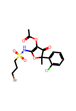 CC(=O)OC1=C(NS(=O)(=O)CCCBr)OC(C)(c2ccccc2Cl)C1=O